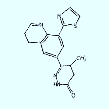 CC1CC(=O)NN=C1c1cc2c(c(-c3nccs3)c1)N=CCC2